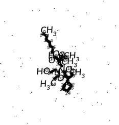 CCCCCCCCOC(=O)[CH](CCN(C(=O)C=C(CC)c1ccccc1)N(CCO)C(=O)CC)[Sn]([CH3])([CH3])[CH3]